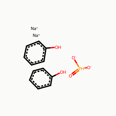 O=[PH]([O-])[O-].Oc1ccccc1.Oc1ccccc1.[Na+].[Na+]